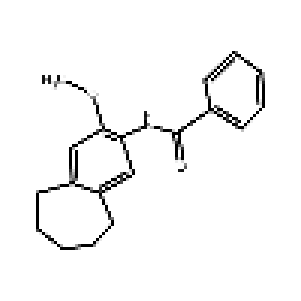 COc1cc2c(cc1NC(=O)c1ccccc1)CCCCC2